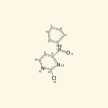 O=[PH](c1ccccc1)c1ccnc(Cl)n1